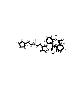 O=C1Nc2ccccc2N(C(=O)N2CCC(CCNCCC3CCCC3)C2)c2ncccc21